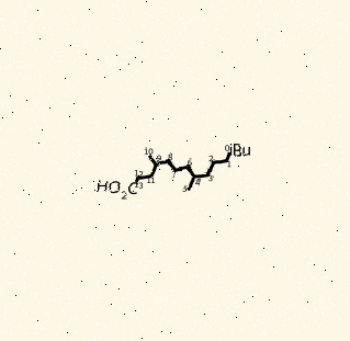 CCC(C)CCCC(C)CCCC(C)CCC(=O)O